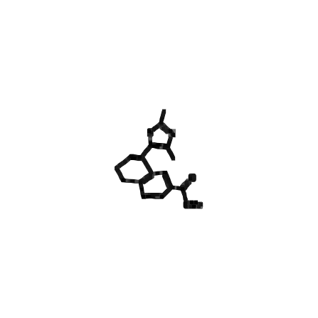 COC(=O)c1ccc2c(c1)C(c1sc(C)nc1C)=CCC2